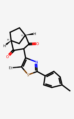 CCc1sc(-c2ccc(C)cc2)nc1C1C(=O)[C@@H]2CC[C@@H](C2)C1=O